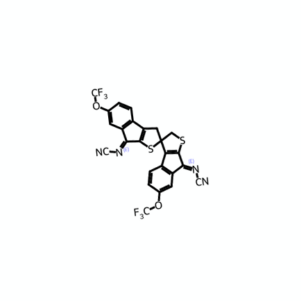 N#C/N=C1/C2=C(CC3(CSC4=C3c3ccc(OC(F)(F)F)cc3/C4=N\C#N)S2)c2ccc(OC(F)(F)F)cc21